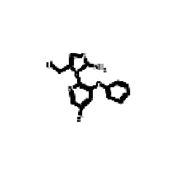 NC1SC=C(CCl)N1c1ncc(Br)cc1Oc1ccccc1